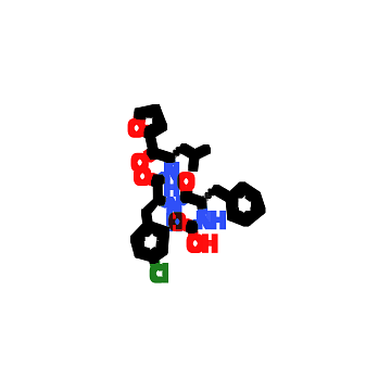 CC(C)C[C@H](NC(=O)[C@H](Cc1ccc(Cl)cc1)NC(=O)[C@H](Cc1ccccc1)NC(=O)O)C(=O)c1ccco1